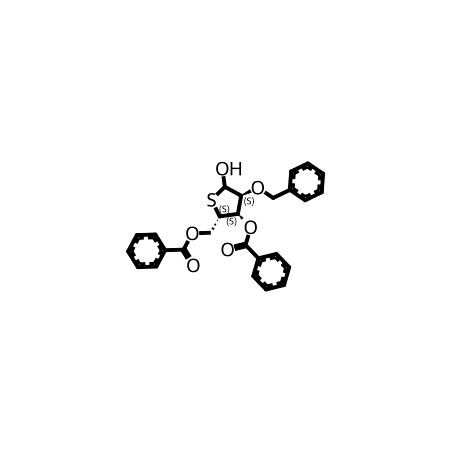 O=C(OC[C@@H]1SC(O)[C@@H](OCc2ccccc2)[C@@H]1OC(=O)c1ccccc1)c1ccccc1